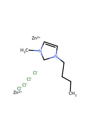 CCCCN1C=CN(C)C1.[Cl-].[Cl-].[Cl-].[Cl-].[Zn+2].[Zn+2]